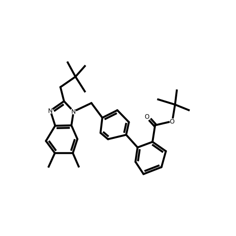 Cc1cc2nc(CC(C)(C)C)n(Cc3ccc(-c4ccccc4C(=O)OC(C)(C)C)cc3)c2cc1C